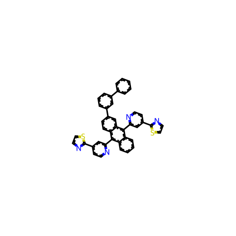 c1ccc(-c2cccc(-c3ccc4c(-c5cc(-c6nccs6)ccn5)c5ccccc5c(-c5cc(-c6nccs6)ccn5)c4c3)c2)cc1